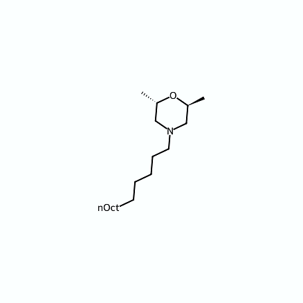 CCCCCCCCCCCCCN1C[C@H](C)O[C@@H](C)C1